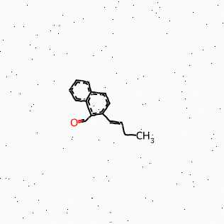 CC/C=C/c1ccc2ccccc2c1C=O